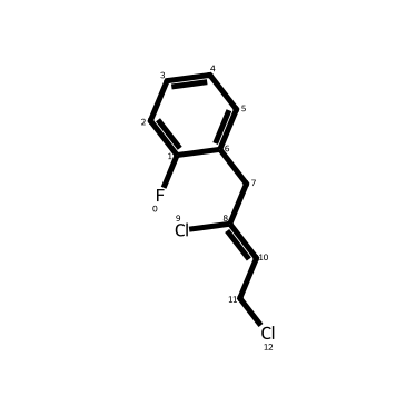 Fc1ccccc1CC(Cl)=CCCl